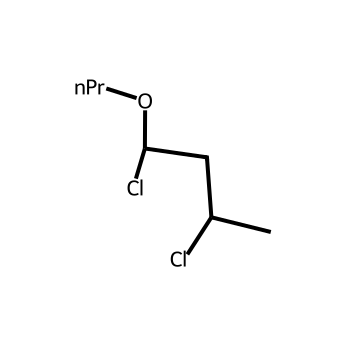 CCCOC(Cl)CC(C)Cl